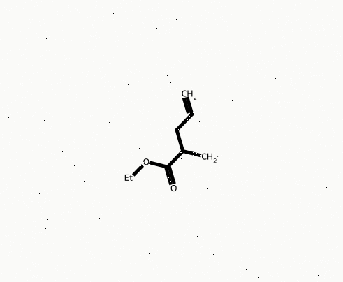 [CH2]C(CC=C)C(=O)OCC